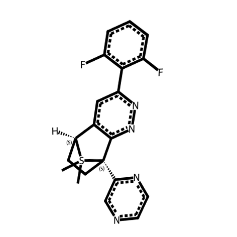 CS1(C)[C@H]2CC[C@]1(c1cnccn1)c1nnc(-c3c(F)cccc3F)cc12